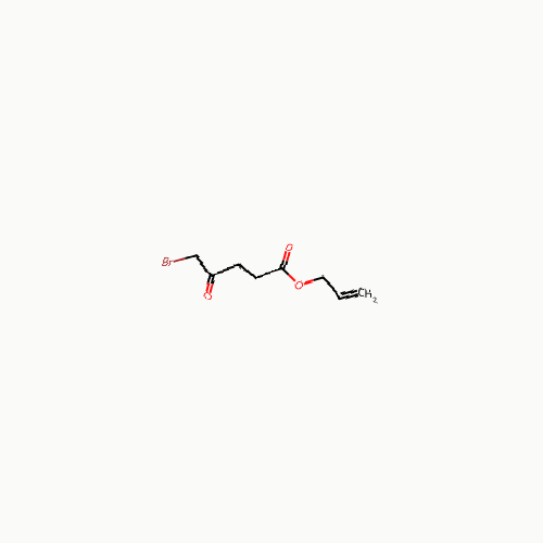 C=CCOC(=O)CCC(=O)CBr